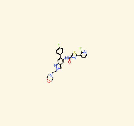 O=C(Nc1cc2cn(CCN3CCOCC3)nc2cc1-c1ccc(F)cc1)c1csc(-c2cccnc2F)n1